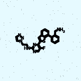 NCc1ccccc1-c1cccc2cc(-c3nc(NCCn4ccnn4)ncc3F)sc12